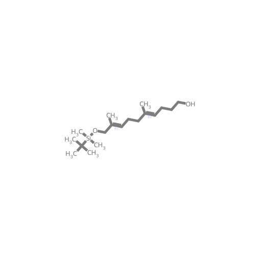 C/C(=C\CCCO)CC/C=C(\C)CO[Si](C)(C)C(C)(C)C